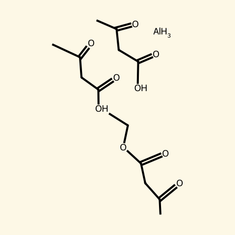 CC(=O)CC(=O)O.CC(=O)CC(=O)O.CCOC(=O)CC(C)=O.[AlH3]